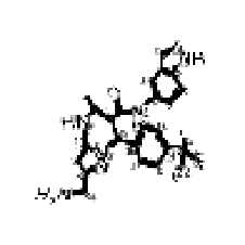 CC1=C(C(=O)Nc2ccc3[nH]ncc3c2)C(c2ccc(C(F)(F)F)cc2)n2nc(CN)cc2N1